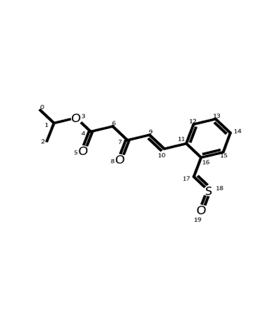 CC(C)OC(=O)CC(=O)C=Cc1ccccc1C=S=O